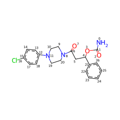 NC(=O)OC(CC(=O)N1CCN(c2ccc(Cl)cc2)CC1)c1ccccc1